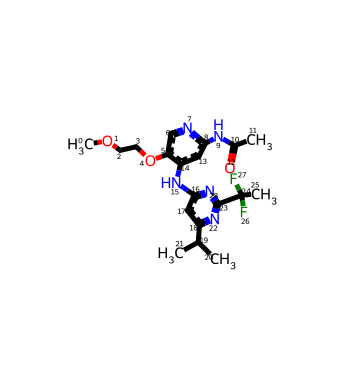 COCCOc1cnc(NC(C)=O)cc1Nc1cc(C(C)C)nc(C(C)(F)F)n1